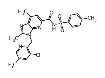 Cc1ccc(S(=O)(=O)NC(=O)c2cc(C)c3nc(C)n(Cc4ncc(C(F)(F)F)cc4Cl)c3n2)cc1